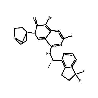 Cc1nc(N[C@@H](C)c2cccc3c2CCC3(F)F)c2cn(C34CCN(CC3)C4)c(=O)c(Br)c2n1